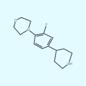 Fc1cc(C2CCNCC2)ccc1N1CCOCC1